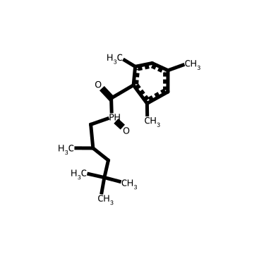 Cc1cc(C)c(C(=O)[PH](=O)CC(C)CC(C)(C)C)c(C)c1